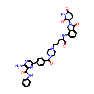 Nc1ncc(-c2ccc(C(=O)N3CCN(CCCC(C=O)Nc4cccc5c4CN(C4CCC(=O)NC4=O)C5=O)CC3)cc2)nc1C(=O)Nc1ccccc1